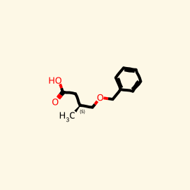 C[C@H](COCc1ccccc1)CC(=O)O